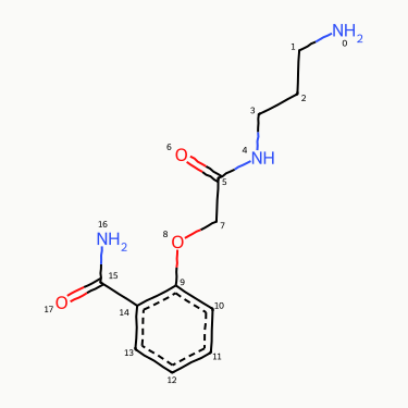 NCCCNC(=O)COc1ccccc1C(N)=O